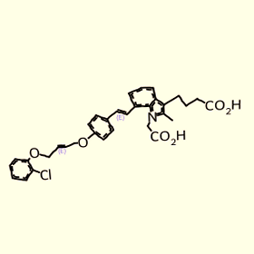 Cc1c(CCCC(=O)O)c2cccc(/C=C/c3ccc(OC/C=C/COc4ccccc4Cl)cc3)c2n1CC(=O)O